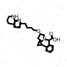 O=C(O)C(c1ccccc1C1CC1)N1CC[C@@H](OCCCCc2ccc3c(n2)NCCC3)C1